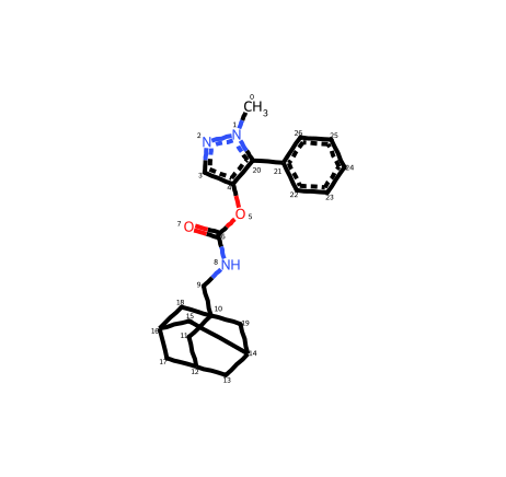 Cn1ncc(OC(=O)NCC23CC4CC(CC(C4)C2)C3)c1-c1ccccc1